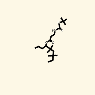 CCCC(OC(=O)CCNC(=O)OC(C)(C)C)C(C)(C)CC(C)(C)CC